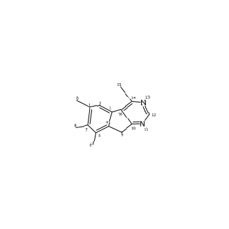 Cc1cc2c(c(C)c1C)Cc1ncnc(C)c1-2